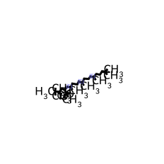 COC(=O)C(/C=C(\C)CC/C=C(\C)CC/C=C(\C)CCC=C(C)C)CC(=O)C(C)(C)C